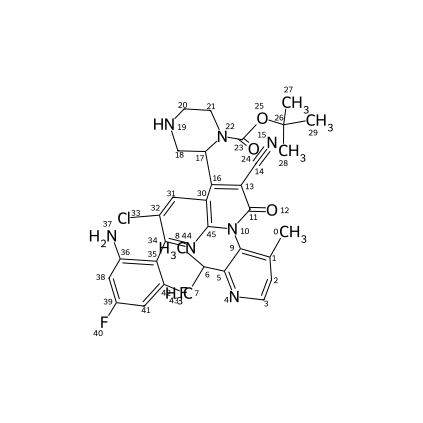 Cc1ccnc(C(C)C)c1-n1c(=O)c(C#N)c(C2CNCCN2C(=O)OC(C)(C)C)c2cc(Cl)c(-c3c(N)cc(F)cc3F)nc21